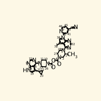 C[C@H]1CN(C(=O)OC(=O)N2CCN(c3ncnc4[nH]cc(C5CC5)c34)CC2)CCN1c1ncnc2c1c(I)cn2-c1cc(C#N)ccn1